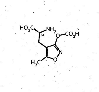 Cc1onc(OC(=O)O)c1C[C@H](N)C(=O)O